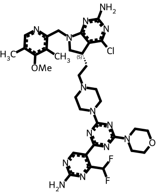 COc1c(C)cnc(CN2C[C@@H](CCN3CCN(c4nc(-c5cnc(N)nc5C(F)F)nc(N5CCOCC5)n4)CC3)c3c(Cl)nc(N)nc32)c1C